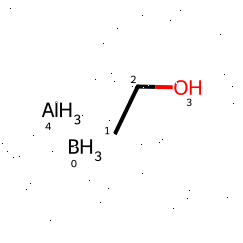 B.CCO.[AlH3]